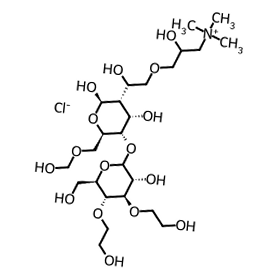 C[N+](C)(C)CC(O)COCC(O)[C@@H]1[C@H](O)[C@H](OC2O[C@H](CO)[C@@H](OCCO)[C@H](OCCO)[C@H]2O)[C@@H](COCO)O[C@H]1O.[Cl-]